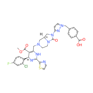 COC(=O)C1=C(CN2CCN3C(=O)N(c4ccn(Cc5ccc(C(=O)O)cc5)n4)C[C@@H]3C2)NC(c2nccs2)=N[C@H]1c1ccc(F)cc1Cl